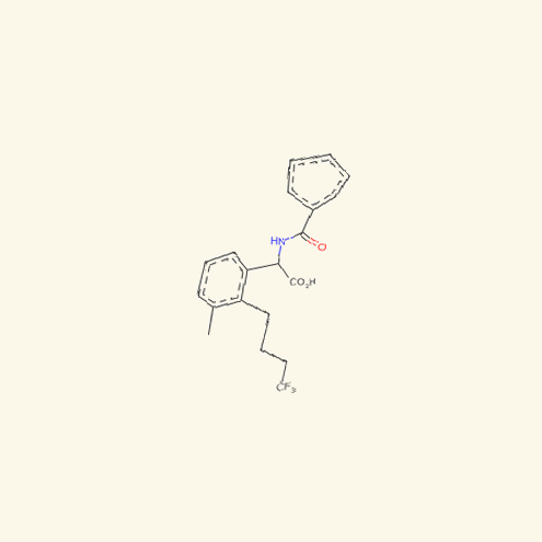 Cc1cccc(C(NC(=O)c2ccccc2)C(=O)O)c1CCCC(F)(F)F